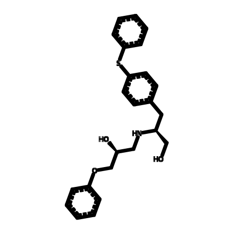 OC[C@H](Cc1ccc(Sc2ccccc2)cc1)NC[C@H](O)COc1ccccc1